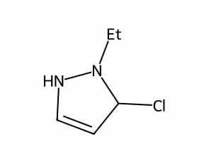 CCN1NC=CC1Cl